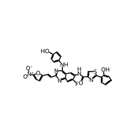 O=C(Nc1cc2c(Nc3ccc(O)cc3)nc(/C=C/c3ccc([N+](=O)[O-])o3)nc2cc1F)c1csc(-c2ccccc2O)n1